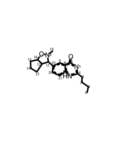 CCCCc1nc(=O)c2cc(C3C4CCCC4ON3C)ccc2[nH]1